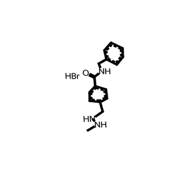 Br.CNNCc1ccc(C(=O)NCc2ccccc2)cc1